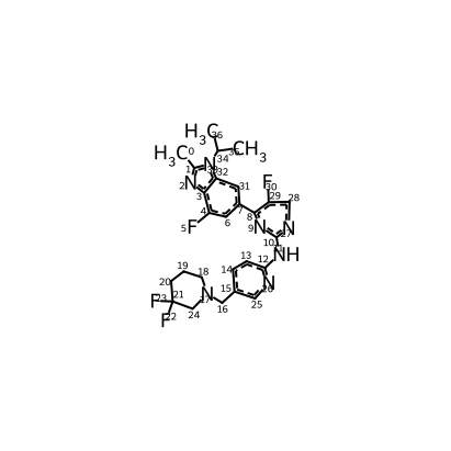 Cc1nc2c(F)cc(-c3nc(Nc4ccc(CN5CCCC(F)(F)C5)cn4)ncc3F)cc2n1C(C)C